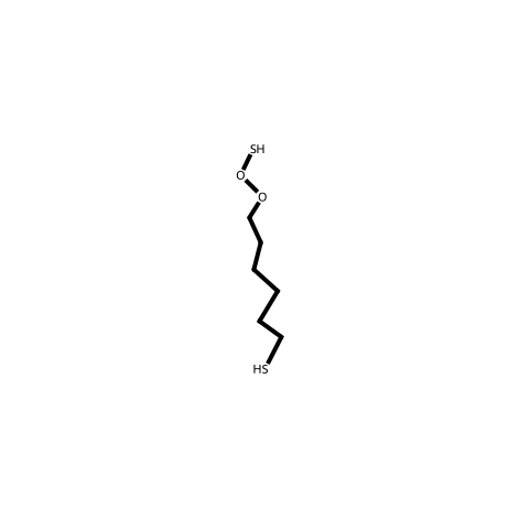 SCCCCCCOOS